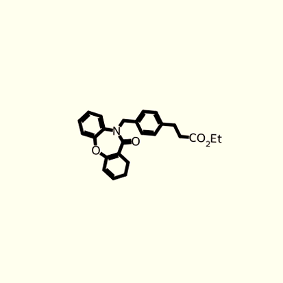 CCOC(=O)CCc1ccc(CN2C(=O)C3=C(C=CCC3)Oc3ccccc32)cc1